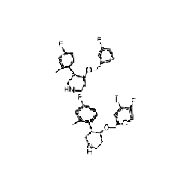 Cc1cc(F)ccc1C1CNCCC1OCc1ccc(F)c(F)c1.Cc1cc(F)ccc1C1CNCCC1OCc1cccc(F)c1